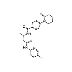 CC(CC(=O)Nc1ccc(Cl)cn1)NC(=O)c1ccc(N2CCCCC2=O)cc1